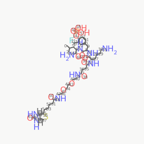 CC(C)CC(NC(=O)C(Cc1ccc(OP(=O)(O)O)c(CF)c1)NC(=O)C(CCCCN)NC(=O)CCC(=O)NCCOCCOCCNC(=O)CCCCC1SC[C@H]2NC(=O)N[C@@H]12)C(N)=O